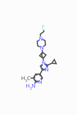 Cc1cc(-c2cn(C34CC(N5CCN(CCF)CC5)(C3)C4)c(C3CC3)n2)cnc1N